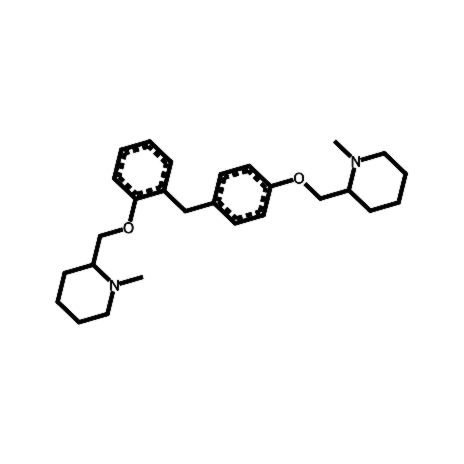 CN1CCCCC1COc1ccc(Cc2ccccc2OCC2CCCCN2C)cc1